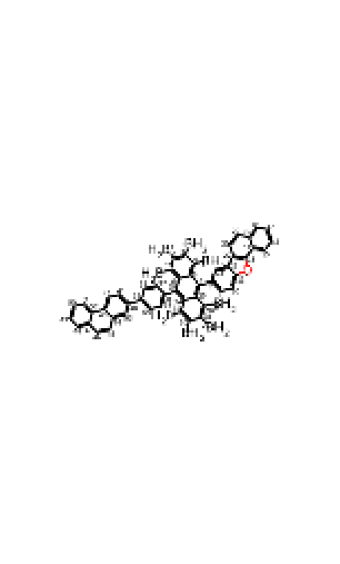 Bc1c(B)c(B)c2c(-c3ccc4oc5c6ccccc6ccc5c4c3)c3c(B)c(B)c(B)c(B)c3c(-c3ccc(-c4ccc5c(ccc6ccccc65)c4)cc3)c2c1B